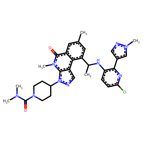 Cc1cc(C(C)Nc2ccc(Cl)nc2-c2cnn(C)c2)c2c(c1)c(=O)n(C)c1c2cnn1C1CCN(C(=O)N(C)C)CC1